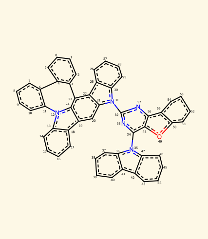 c1ccc2c(c1)-c1ccccc1-n1c3ccccc3c3cc4c(c-2c31)c1ccccc1n4-c1nc(-n2c3ccccc3c3ccccc32)c2oc3ccccc3c2n1